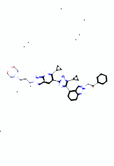 Cn1c(-c2cc3cn(CCCN4CCOCC4)nc3nc2C2CC2)nc(-c2cccc3nn(C[C@H](O)c4ccccc4)cc23)c1C1CC1